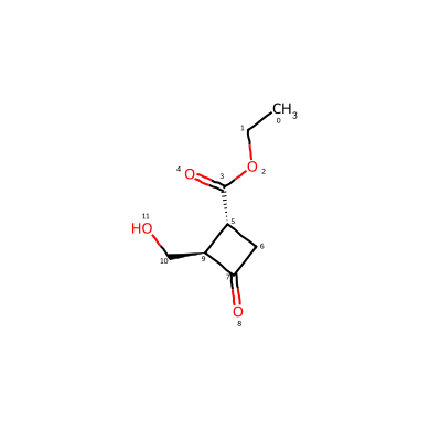 CCOC(=O)[C@@H]1CC(=O)[C@H]1CO